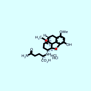 COc1cc(O)c2c3c1C[C@@H]1[C@@H]4CC[C@@H](N[C@@H](CCC(N)=O)C(=O)O)[C@H](O2)[C@]34CCN1C.Cl.Cl